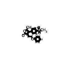 C[C@H]1OC(=O)C(CCOc2ccccc2)=C1c1ccc(S(C)(=O)=O)cc1